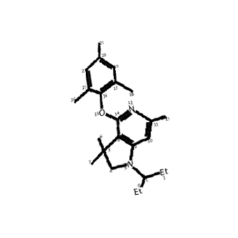 CCC(CC)N1CC(C)(C)c2c1cc(C)nc2Oc1c(C)cc(C)cc1C